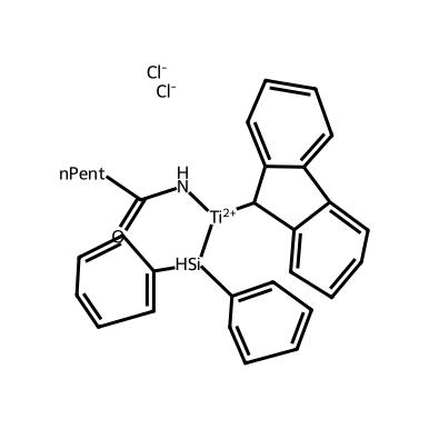 CCCCCC(=O)[NH][Ti+2]([CH]1c2ccccc2-c2ccccc21)[SiH](c1ccccc1)c1ccccc1.[Cl-].[Cl-]